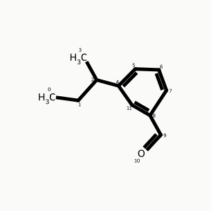 CCC(C)c1cccc([C]=O)c1